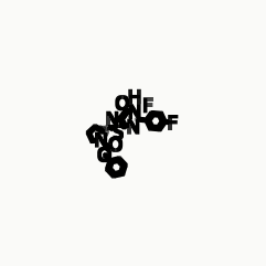 O=C(Oc1ccccc1)N1CCC[C@@H]1c1nc2c(=O)[nH]c(-c3ccc(F)cc3F)nc2s1